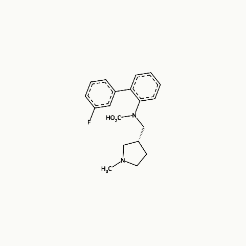 CN1CC[C@@H](CN(C(=O)O)c2ccccc2-c2cccc(F)c2)C1